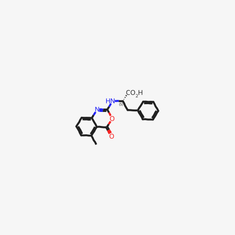 Cc1cccc2nc(N[C@@H](Cc3ccccc3)C(=O)O)oc(=O)c12